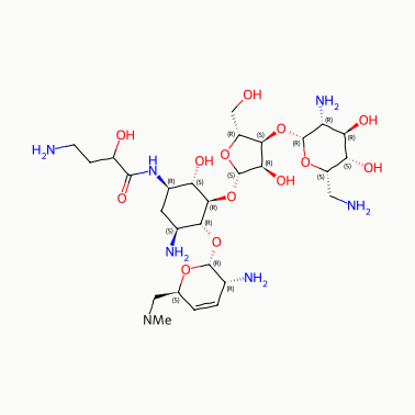 CNC[C@@H]1C=C[C@@H](N)[C@@H](O[C@H]2[C@H](O[C@@H]3O[C@H](CO)[C@@H](O[C@H]4O[C@@H](CN)[C@@H](O)[C@H](O)[C@H]4N)[C@H]3O)[C@@H](O)[C@H](NC(=O)C(O)CCN)C[C@@H]2N)O1